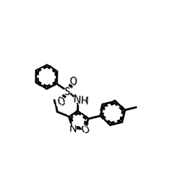 CCc1noc(-c2ccc(C)cc2)c1NS(=O)(=O)c1ccccc1